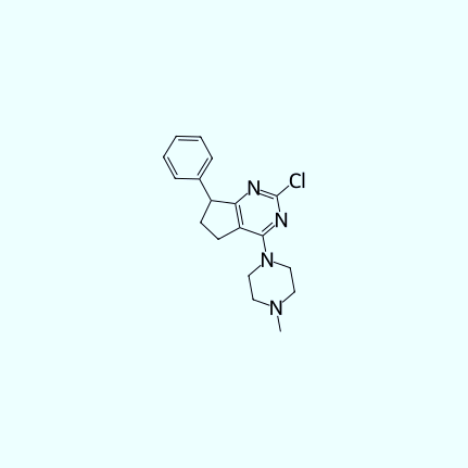 CN1CCN(c2nc(Cl)nc3c2CCC3c2ccccc2)CC1